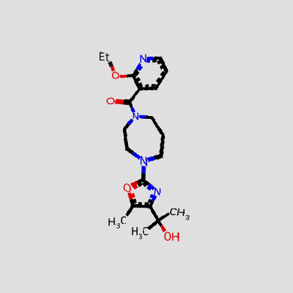 CCOc1ncccc1C(=O)N1CCCN(c2nc(C(C)(C)O)c(C)o2)CC1